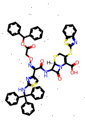 O=C(CO/N=C(\C(=O)NC1C(=O)N2C(C(=O)O)=C(Sc3nc4ccccc4s3)CS[C@H]12)c1csc(NC(c2ccccc2)(c2ccccc2)c2ccccc2)n1)OC(c1ccccc1)c1ccccc1